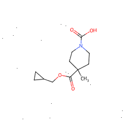 CC1(C(=O)OCC2CC2)CCN(C(=O)O)CC1